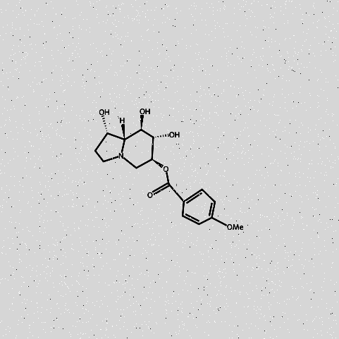 COc1ccc(C(=O)O[C@H]2CN3CC[C@H](O)[C@@H]3[C@@H](O)[C@@H]2O)cc1